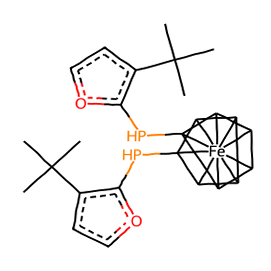 CC(C)(C)c1ccoc1P[C]12[CH]3[CH]4[CH]5[CH]1[Fe]45321678[CH]2[CH]1[CH]6[C]7(Pc1occc1C(C)(C)C)[CH]28